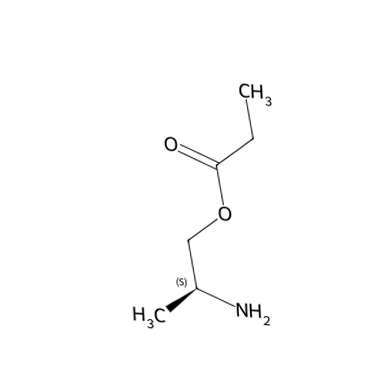 CCC(=O)OC[C@H](C)N